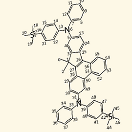 CC1(C)c2cc(N(c3ccccc3)c3ccc([Si](C)(C)C)cc3)ccc2-c2c1c1ccc(N(c3ccccc3)c3ccc([Si](C)(C)C)cc3)cc1c1ccccc21